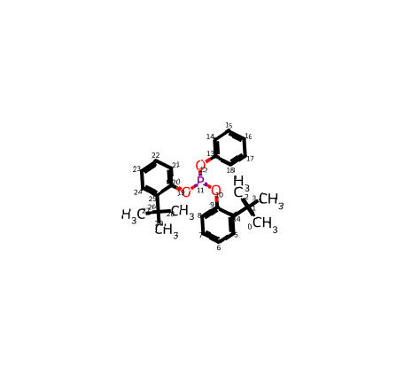 CC(C)(C)c1ccccc1OP(Oc1ccccc1)Oc1ccccc1C(C)(C)C